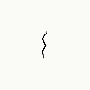 [N]CCCI